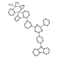 CC1(C)c2ccccc2C2(c3ccccc3-c3c(-c4cccc(-c5cc(-c6ccc(-n7c8ccccc8c8ccccc87)cc6)nc(-c6ccccc6)n5)c4)cccc32)c2ccccc21